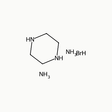 Br.C1CNCCN1.N.N